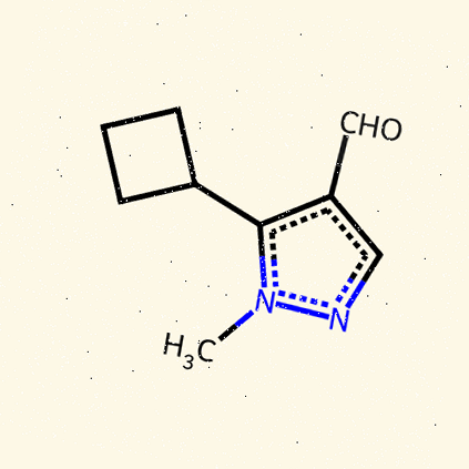 Cn1ncc(C=O)c1C1CCC1